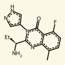 CC[C@H](N)c1nc2c(C)ccc(F)c2c(=O)n1-c1cn[nH]c1